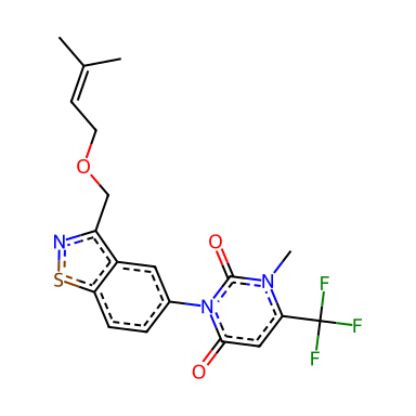 CC(C)=CCOCc1nsc2ccc(-n3c(=O)cc(C(F)(F)F)n(C)c3=O)cc12